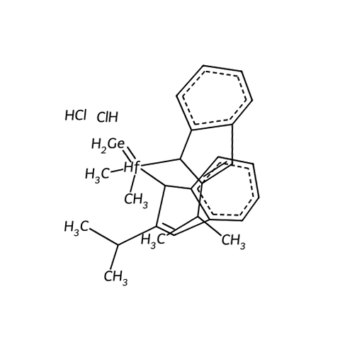 CC(C)C1=Cc2ccccc2[CH]1[Hf]([CH3])([CH3])(=[GeH2])[CH]1C(C(C)C)=Cc2ccccc21.Cl.Cl